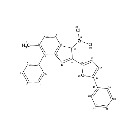 Cc1ccc2c(c1-c1ccccc1)C=C(c1ccc(-c3ccccc3)o1)[CH]2[Zr]([Cl])[Cl]